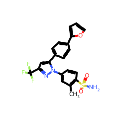 Cc1cc(-n2nc(C(F)(F)F)cc2-c2ccc(-c3ccco3)cc2)ccc1S(N)(=O)=O